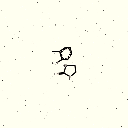 Cc1ccccc1[N+](=O)[O-].N=C1NCCN1